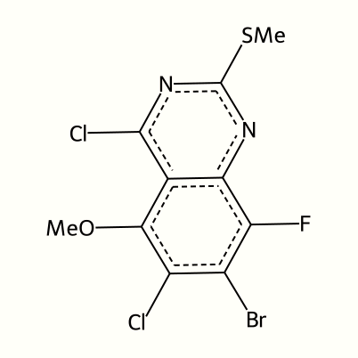 COc1c(Cl)c(Br)c(F)c2nc(SC)nc(Cl)c12